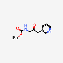 CC(C)(C)OC(=O)NCC(=O)Cc1cccnc1